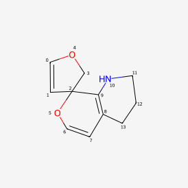 C1=CC2(CO1)OC=CC1=C2NCCC1